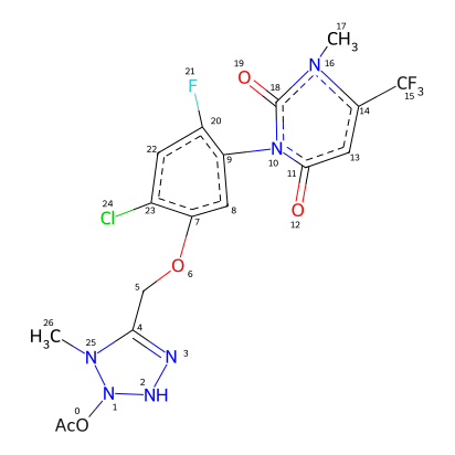 CC(=O)ON1NN=C(COc2cc(-n3c(=O)cc(C(F)(F)F)n(C)c3=O)c(F)cc2Cl)N1C